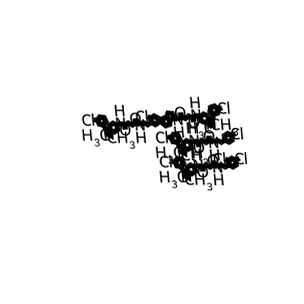 CN(C)C1(Cc2cccc(Cl)c2)CCC(NC(=O)CCC(=O)NC2CCc3ccccc32)CC1.CN(C)C1(Cc2cccc(Cl)c2)CCC(NC(=O)CCC(=O)NCCc2ccc(Cl)cc2)CC1.CN(C)C1(Cc2cccc(Cl)c2)CCC(NC(=O)CCC(=O)NCCc2ccc(Cl)cc2Cl)CC1.CN(C)C1(Cc2cccc(Cl)c2)CCC(NC(=O)CCC(=O)NCCc2ccccc2Cl)CC1